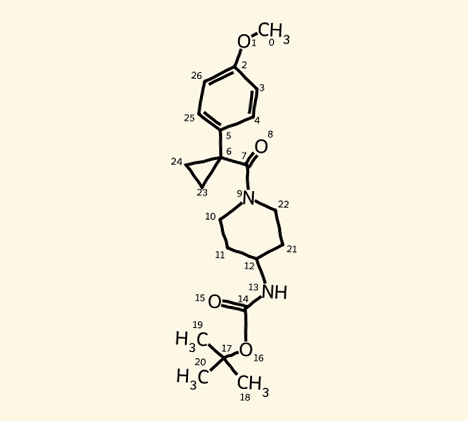 COc1ccc(C2(C(=O)N3CCC(NC(=O)OC(C)(C)C)CC3)CC2)cc1